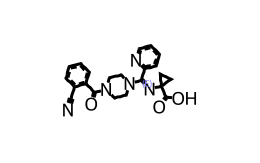 N#Cc1ccccc1C(=O)N1CCN(/C(=N/C2(C(=O)O)CC2)c2ccccn2)CC1